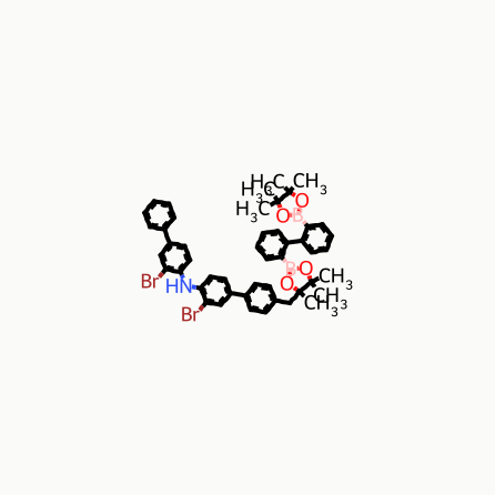 CC1(C)OB(c2ccccc2-c2ccccc2B2OC(C)(C)C(C)(Cc3ccc(-c4ccc(Nc5ccc(-c6ccccc6)cc5Br)c(Br)c4)cc3)O2)OC1(C)C